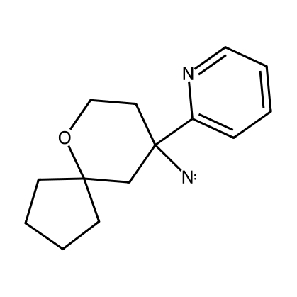 [N]C1(c2ccccn2)CCOC2(CCCC2)C1